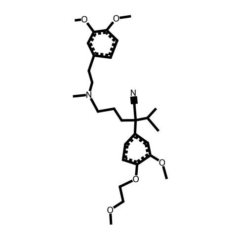 COCCOc1ccc(C(C#N)(CCCN(C)CCc2ccc(OC)c(OC)c2)C(C)C)cc1OC